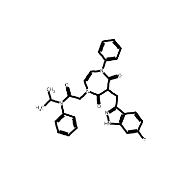 CC(C)N(C(=O)CN1C=CN(c2ccccc2)C(=O)C(Cc2n[nH]c3cc(F)ccc23)C1=O)c1ccccc1